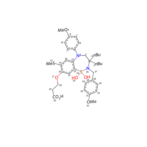 CCCCC1(CCCC)CN(c2ccc(OC)cc2)c2cc(SC)c(OCCC(=O)O)cc2S(O)(O)N1Cc1ccc(OC)cc1